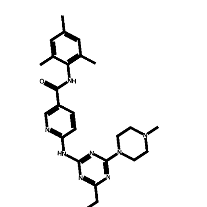 CCc1nc(Nc2ccc(C(=O)Nc3c(C)cc(C)cc3C)cn2)nc(N2CCN(C)CC2)n1